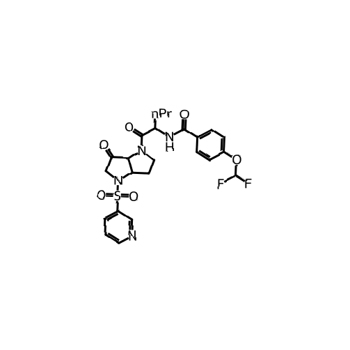 CCCC(NC(=O)c1ccc(OC(F)F)cc1)C(=O)N1CCC2C1C(=O)CN2S(=O)(=O)c1cccnc1